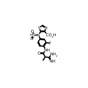 CC(C(=N)N)C(=O)Nc1ccc(N(c2scnc2C(=O)O)[SH](=O)=O)cc1F